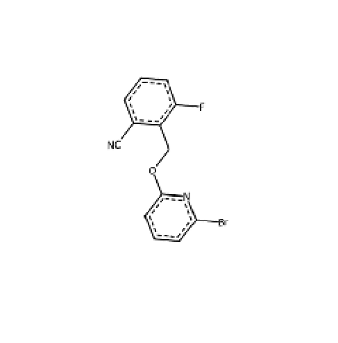 N#Cc1cccc(F)c1COc1cccc(Br)n1